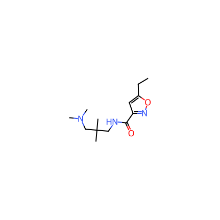 CCc1cc(C(=O)NCC(C)(C)CN(C)C)no1